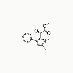 COC(=O)C(=O)c1c(-c2ccccc2)cc(C)n1C